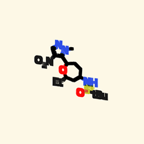 CC[C@@H]1CC(N[S+]([O-])C(C)(C)C)CCC(c2c([N+](=O)[O-])cnn2C)O1